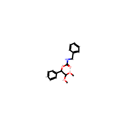 COC(OC)C(OC(=O)NCc1ccccc1)c1ccccc1